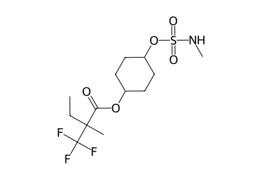 CCC(C)(C(=O)OC1CCC(OS(=O)(=O)NC)CC1)C(F)(F)F